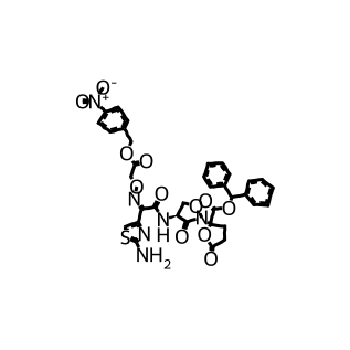 Nc1nc(/C(=N/OCC(=O)OCc2ccc([N+](=O)[O-])cc2)C(=O)N[C@H]2CON(C3(C(=O)OC(c4ccccc4)c4ccccc4)CCC(=O)O3)C2=O)cs1